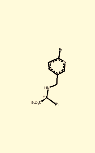 CCOC(=O)[C@@H](NCc1ccc(Br)nc1)C(C)C